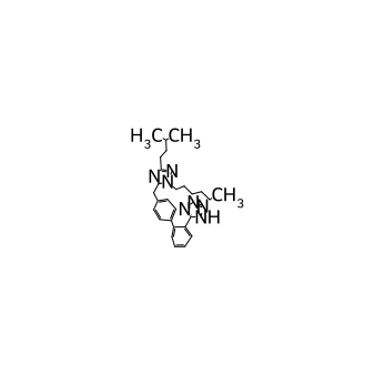 CCCCCCn1nc(CCC(C)C)nc1Cc1ccc(-c2ccccc2-c2nnn[nH]2)cc1